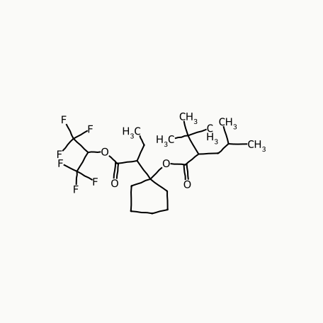 CCC(C(=O)OC(C(F)(F)F)C(F)(F)F)C1(OC(=O)C(CC(C)C)C(C)(C)C)CCCCC1